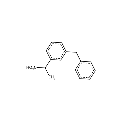 CC(C(=O)O)c1cccc(Cc2ccccc2)c1